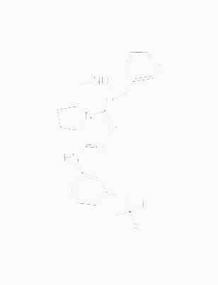 NC[C@H]1CC[C@@H](C(=O)Nc2cccc(OC(F)(F)F)c2)N1C(=O)OCc1ccccc1